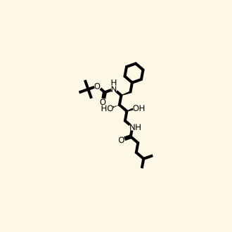 CC(C)CCC(=O)NC[C@H](O)[C@H](O)[C@H](CC1CCCCC1)NC(=O)OC(C)(C)C